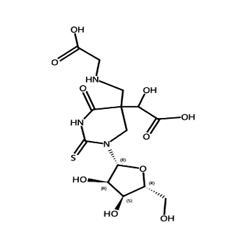 O=C(O)CNCC1(C(O)C(=O)O)CN([C@@H]2O[C@H](CO)[C@@H](O)[C@H]2O)C(=S)NC1=O